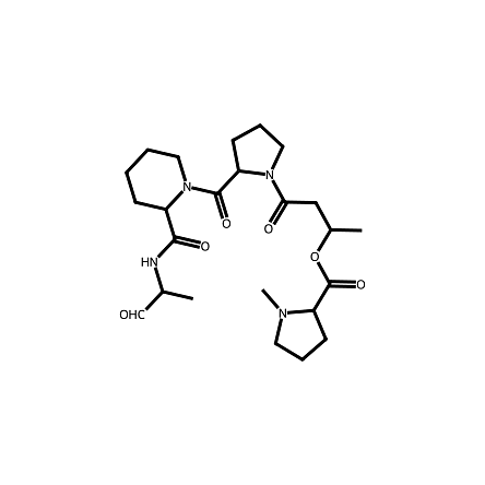 CC(C=O)NC(=O)C1CCCCN1C(=O)C1CCCN1C(=O)CC(C)OC(=O)C1CCCN1C